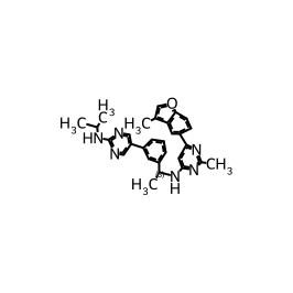 Cc1nc(N[C@@H](C)c2cccc(-c3cnc(NC(C)C)nc3)c2)cc(-c2ccc3occ(C)c3c2)n1